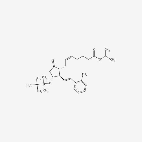 Cc1ccccc1/C=C/[C@H]1[C@H](O[Si](C)(C)C(C)(C)C)CC(=O)[C@@H]1C/C=C\CCCC(=O)OC(C)C